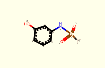 CC(C)S(=O)(=O)Nc1cccc(O)c1